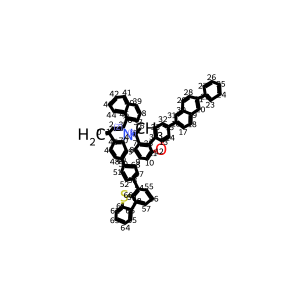 C=C(/C=C(\N=C(/C)c1cccc2oc3cc(-c4ccc5cc(-c6ccccc6)ccc5c4)ccc3c12)c1cccc2ccccc12)c1ccc(-c2ccc(-c3cccc4c3sc3ccccc34)cc2)cc1